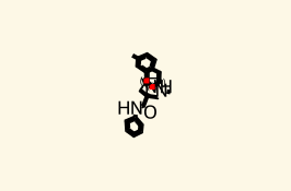 Cc1ccc2c(c1)[C@]13CCCN(C)[C@H](C2)[C@@H]1CN(C(=O)Nc1ccccc1)CC3